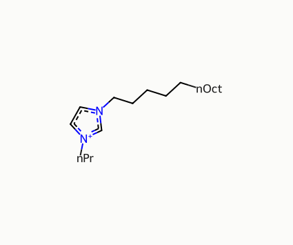 CCCCCCCCCCCCCn1cc[n+](CCC)c1